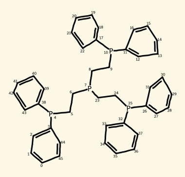 c1ccc(P(CCP(CCP(c2ccccc2)c2ccccc2)CCP(c2ccccc2)c2ccccc2)c2ccccc2)cc1